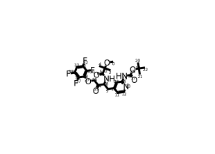 COC(C)(C)C(=O)NC(Cc1ccnc(NC(=O)OC(C)(C)C)c1)C(=O)COc1c(F)c(F)cc(F)c1F